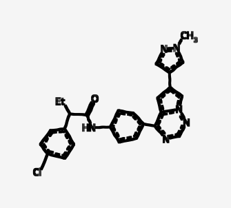 CCC(C(=O)Nc1ccc(-c2ncnn3cc(-c4cnn(C)c4)cc23)cc1)c1ccc(Cl)cc1